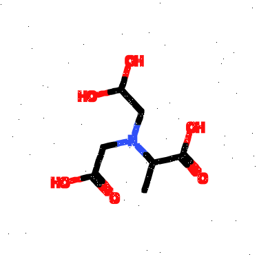 CC(C(=O)O)N(CC(=O)O)CC(O)O